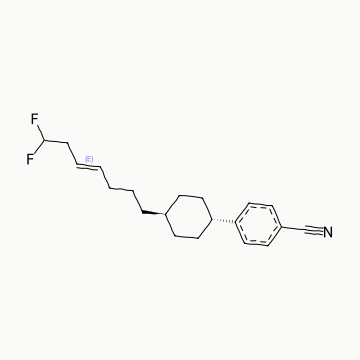 N#Cc1ccc([C@H]2CC[C@H](CCC/C=C/CC(F)F)CC2)cc1